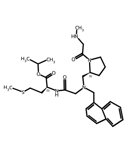 CNCC(=O)N1CCC[C@H]1CN(CC(=O)N[C@@H](CCSC)C(=O)OC(C)C)Cc1cccc2ccccc12